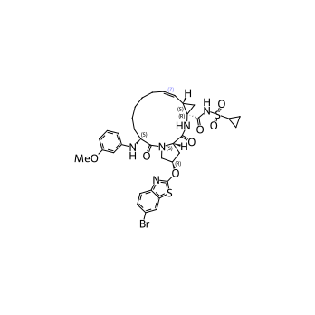 COc1cccc(N[C@H]2CCCCC/C=C\[C@@H]3C[C@@]3(C(=O)NS(=O)(=O)C3CC3)NC(=O)[C@@H]3C[C@@H](Oc4nc5ccc(Br)cc5s4)CN3C2=O)c1